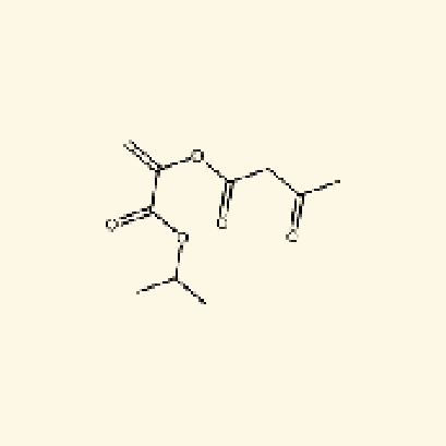 C=C(OC(=O)CC(C)=O)C(=O)OC(C)C